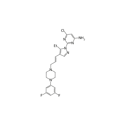 CCc1c(C=CCN2CCN(c3cc(F)cc(F)c3)CC2)cnn1-c1nc(N)cc(Cl)n1